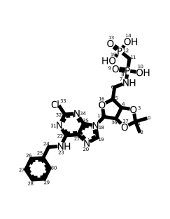 CC1(C)OC2C(CNP(=O)(O)CP(=O)(O)O)OC(n3cnc4c(NCc5ccccc5)nc(Cl)nc43)C2O1